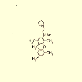 CC(=O)N(CCN1CCCC1)c1cc(C)nc(Oc2c(C)cc(C)cc2C)c1C